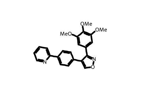 COc1cc(-c2nocc2-c2ccc(-c3ccccn3)cc2)cc(OC)c1OC